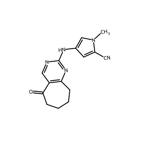 Cn1cc(Nc2ncc3c(n2)CCCCC3=O)cc1C#N